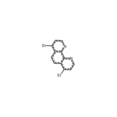 CCc1ccnc2c1ccc1c(CC)ccnc12